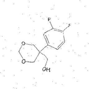 OCC1(c2ccc(F)c(F)c2)COCOC1